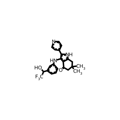 CC1(C)CC(=O)c2c([nH]c(-c3ccncc3)c2Nc2cccc(C(O)C(F)(F)F)c2)C1